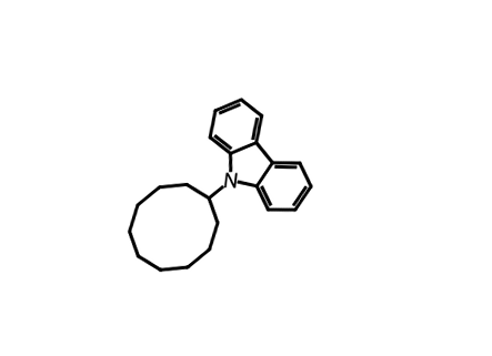 c1ccc2c(c1)c1ccccc1n2C1CCCCCCCCC1